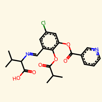 CC(C)C(=O)Oc1c(C=NC(C(=O)O)C(C)C)cc(Cl)cc1OC(=O)c1cccnc1